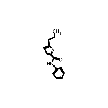 CCCc1ccc(C(=O)Nc2ccccc2)s1